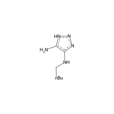 CCCCCNc1nn[nH]c1N